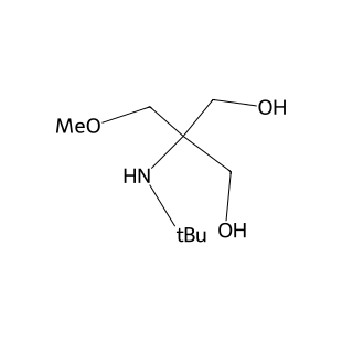 COCC(CO)(CO)NC(C)(C)C